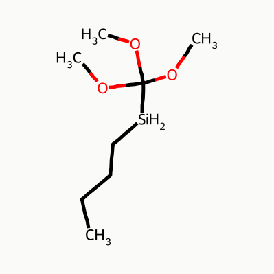 CCCC[SiH2]C(OC)(OC)OC